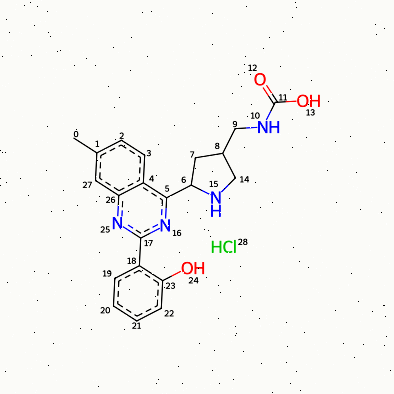 Cc1ccc2c(C3CC(CNC(=O)O)CN3)nc(-c3ccccc3O)nc2c1.Cl